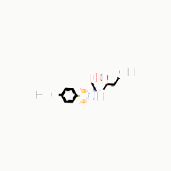 C#CCC(O)C[C@@H](C=C)NS(=O)(=O)c1ccc(C)cc1